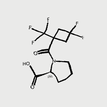 O=C(O)[C@@H]1CCCN1C(=O)C1(C(F)(F)F)CC(F)(F)C1